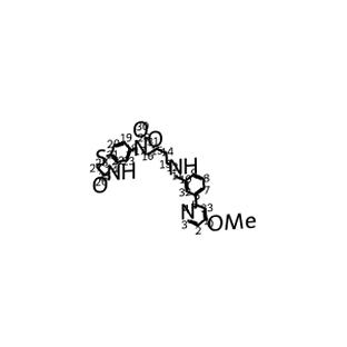 COc1ccnc(-c2cccc(CNCCC3CN(c4ccc5c(c4)NC(=O)CS5)C(=O)O3)c2)c1